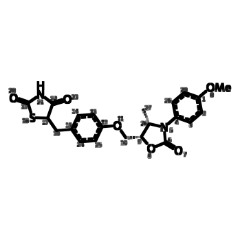 COc1ccc(N2C(=O)O[C@H](COc3ccc(CC4SC(=O)NC4=O)cc3)[C@@H]2C)cc1